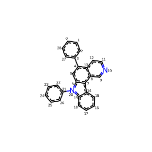 c1ccc(-c2cc3c(c4cnccc24)c2ccccc2n3-c2ccccc2)cc1